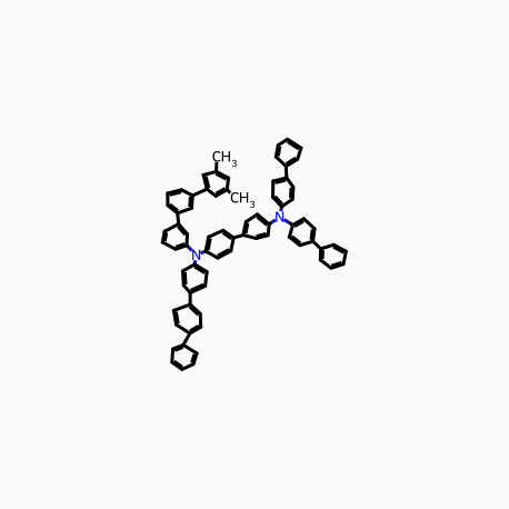 Cc1cc(C)cc(-c2cccc(-c3cccc(N(c4ccc(-c5ccc(-c6ccccc6)cc5)cc4)c4ccc(-c5ccc(N(c6ccc(-c7ccccc7)cc6)c6ccc(-c7ccccc7)cc6)cc5)cc4)c3)c2)c1